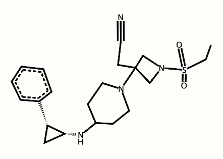 CCS(=O)(=O)N1CC(CC#N)(N2CCC(N[C@@H]3C[C@@H]3c3ccccc3)CC2)C1